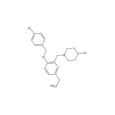 O=C(O)Cc1ccc(OCc2ccc(Cl)cc2)c(CN2CC[S+]([O-])CC2)c1